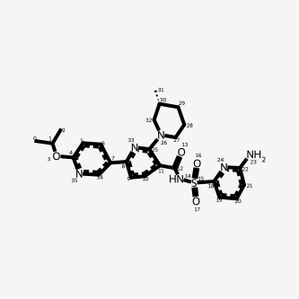 CC(C)Oc1ccc(-c2ccc(C(=O)NS(=O)(=O)c3cccc(N)n3)c(N3CCC[C@@H](C)C3)n2)cn1